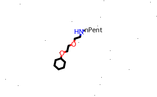 CCCCCNCCOCCOC1CCCCC1